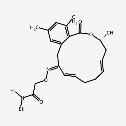 CCN(CC)C(=O)CO/N=C1\C=C\CC/C=C/C[C@@H](C)OC(=O)c2c(C)cc(C)cc2C1